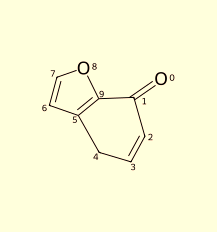 O=C1C=CCc2ccoc21